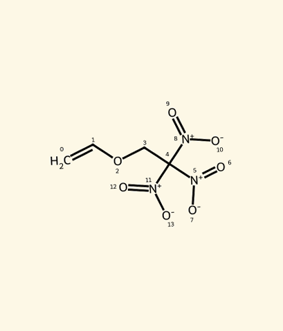 C=COCC([N+](=O)[O-])([N+](=O)[O-])[N+](=O)[O-]